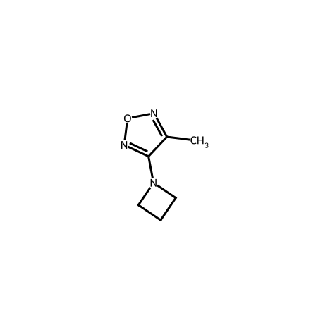 Cc1nonc1N1CCC1